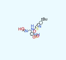 CC1(O)CN(CCC(NC(=O)c2cc3cc4c(nc3s2)CC[C@H](C(C)(C)C)C4)c2cccc(NS(C)(=O)=O)c2)C1